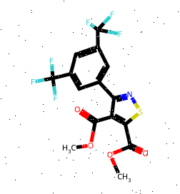 COC(=O)c1snc(-c2cc(C(F)(F)F)cc(C(F)(F)F)c2)c1C(=O)OC